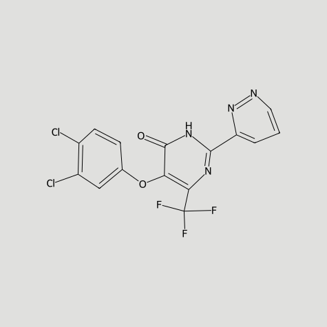 O=c1[nH]c(-c2cccnn2)nc(C(F)(F)F)c1Oc1ccc(Cl)c(Cl)c1